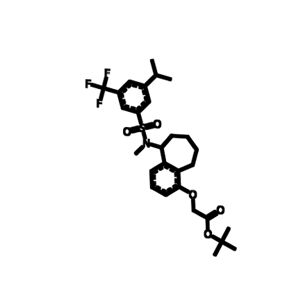 CC(C)c1cc(C(F)(F)F)cc(S(=O)(=O)N(C)C2CCCCc3c(OCC(=O)OC(C)(C)C)cccc32)c1